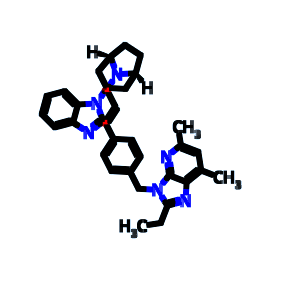 CCc1nc2c(C)cc(C)nc2n1Cc1ccc(C=CCN2[C@@H]3CC[C@H]2CC(n2cnc4ccccc42)C3)cc1